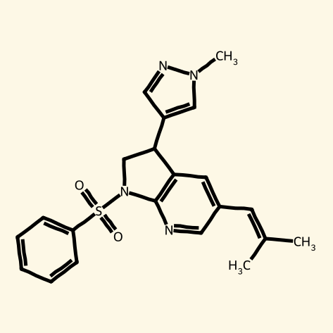 CC(C)=Cc1cnc2c(c1)C(c1cnn(C)c1)CN2S(=O)(=O)c1ccccc1